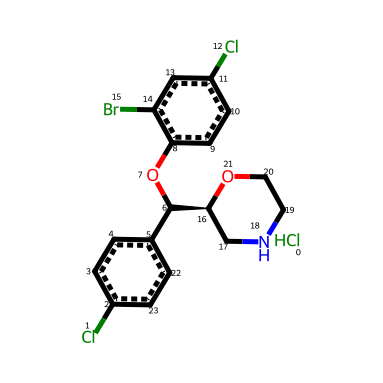 Cl.Clc1ccc(C(Oc2ccc(Cl)cc2Br)[C@@H]2CNCCO2)cc1